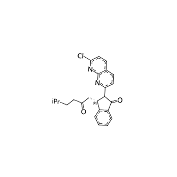 CC(C)CCC(=O)C[C@H]1c2ccccc2C(=O)C1c1ccc2ccc(Cl)nc2n1